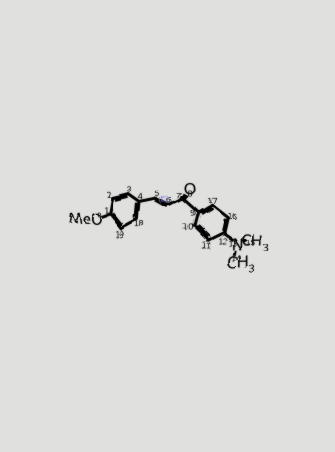 COc1ccc(/C=C/C(=O)c2ccc(N(C)C)cc2)cc1